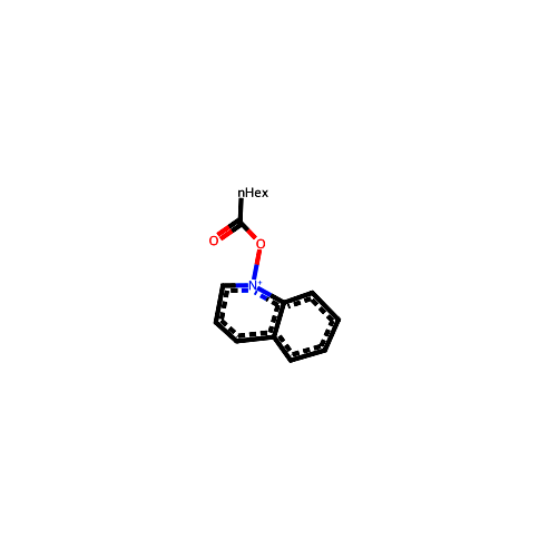 CCCCCCC(=O)O[n+]1cccc2ccccc21